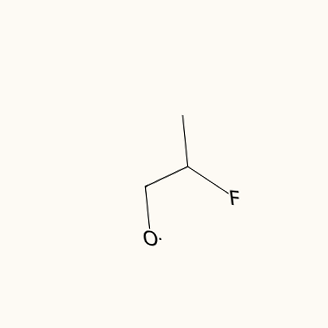 CC(F)C[O]